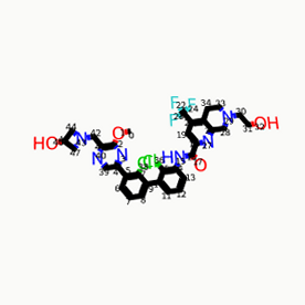 COc1nc(-c2cccc(-c3cccc(NC(=O)c4cc(C(F)(F)F)c5c(n4)CN(CCO)CC5)c3Cl)c2Cl)cnc1CN1CC(O)C1